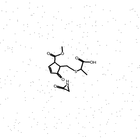 COC(=O)C1C=CC(=O)C1CSC(C)C(=O)O.O=C1CN1